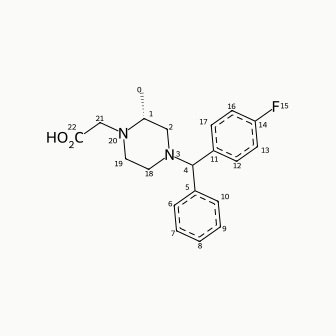 C[C@@H]1CN(C(c2ccccc2)c2ccc(F)cc2)CCN1CC(=O)O